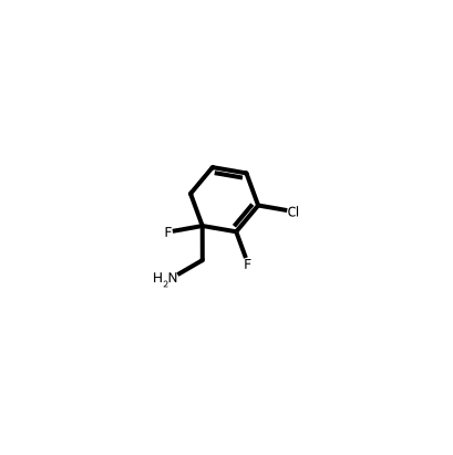 NCC1(F)CC=CC(Cl)=C1F